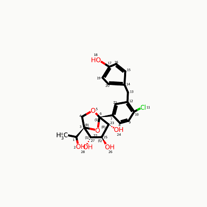 CC(O)[C@@]12CO[C@@](c3ccc(Cl)c(Cc4ccc(O)cc4)c3)(O1)[C@H](O)[C@@H](O)[C@@H]2O